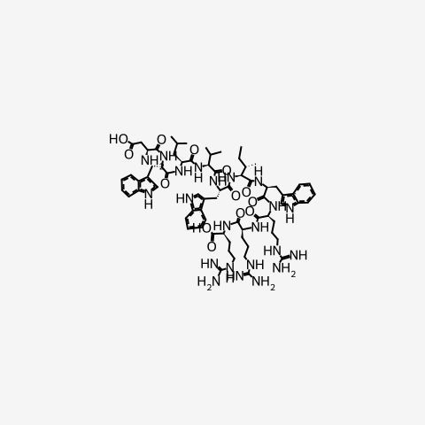 CC[C@H](C)[C@H](NC(=O)[C@H](Cc1c[nH]c2ccccc12)NC(=O)[C@@H](NC(=O)[C@H](CC(C)C)NC(=O)[C@H](Cc1c[nH]c2ccccc12)NC(=O)[C@@H](N)CC(=O)O)C(C)C)C(=O)N[C@@H](Cc1c[nH]c2ccccc12)C(=O)N[C@@H](CCCNC(=N)N)C(=O)N[C@@H](CCCNC(=N)N)C(=O)N[C@@H](CCCNC(=N)N)C(=O)O